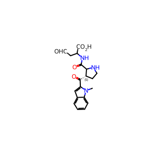 Cn1c(C(=O)[C@H]2CCNC2C(=O)NC(CC=O)C(=O)O)cc2ccccc21